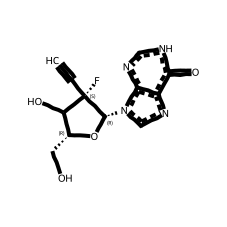 C#C[C@]1(F)C(O)[C@@H](CO)O[C@H]1n1cnc2c(=O)[nH]cnc21